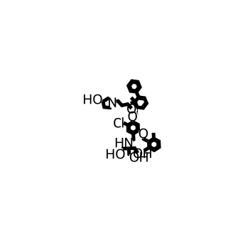 Cc1cccc(C)c1COc1cc(OC[C@@]2(OCCCN3CCC(O)C3)C=CC=C(c3ccccc3)C2(C)C)c(Cl)cc1CNC(CO)(CO)CO